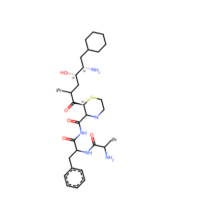 CC(C)C(N)C(=O)NC(Cc1ccccc1)C(=O)NC(=O)C1[N]CCS[C@@H]1C(=O)C(C[C@H](O)[C@@H](N)CC1CCCCC1)C(C)C